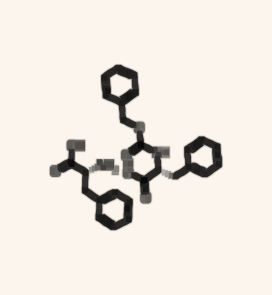 N[C@H](Cc1ccccc1)C(=O)O.O=C(N[C@H](Cc1ccccc1)C(=O)O)OCc1ccccc1